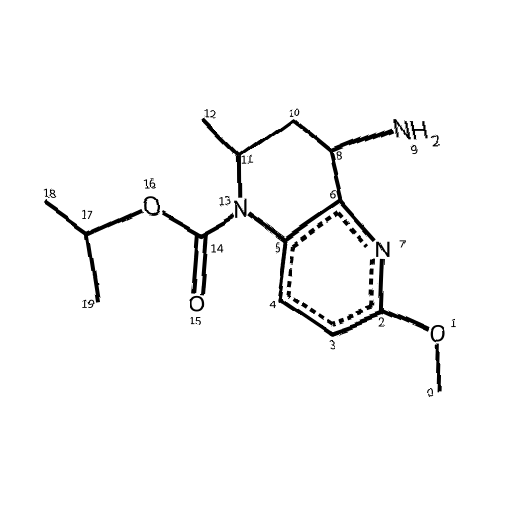 COc1ccc2c(n1)C(N)CC(C)N2C(=O)OC(C)C